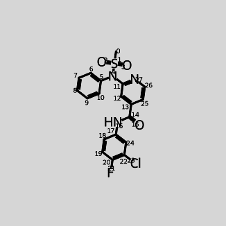 CS(=O)(=O)N(c1ccccc1)c1cc(C(=O)Nc2ccc(F)c(Cl)c2)ccn1